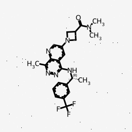 Cc1nnc(N[C@H](C)c2cccc(C(F)(F)F)c2)c2cc(N3CC(C(=O)N(C)C)C3)cnc12